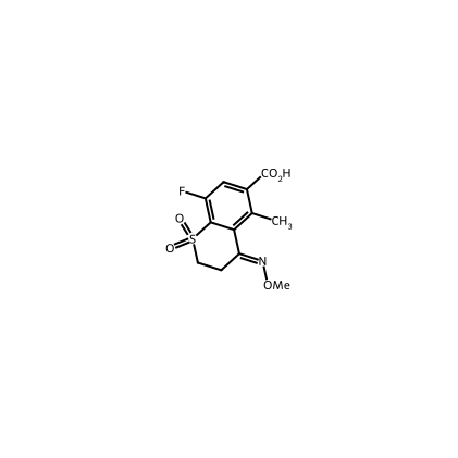 CO/N=C1\CCS(=O)(=O)c2c(F)cc(C(=O)O)c(C)c21